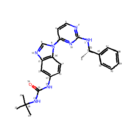 C[C@H](Nc1nccc(-n2cnc3cc(NC(=O)NC(C)(C)C)ccc32)n1)c1ccccc1